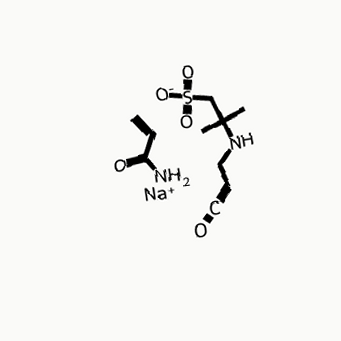 C=CC(N)=O.CC(C)(CS(=O)(=O)[O-])NCC=C=O.[Na+]